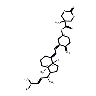 C=C1CC[C@H](OC(=O)C2(C)COC(=O)OC2)C/C1=C/C=C1\CCC[C@]2(C)C([C@H](C)/C=C/[C@H](C)C(C)C)CC[C@@H]12